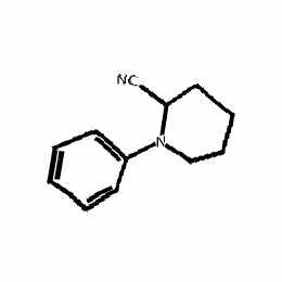 N#CC1CCCCN1c1ccccc1